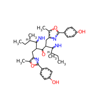 CC[C@@H](C)C(=N)C(Cc1nc(-c2ccc(O)cc2)oc1C)C(=O)C(Cc1nc(-c2ccc(O)cc2)oc1C)C(=N)[C@H](C)CC